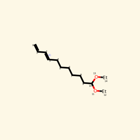 C=C/C=C/CCCCCCC(OCC)OCC